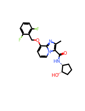 Cc1nc2c(OCc3c(F)cccc3F)cccn2c1C(=O)N[C@@H]1CCC[C@@H]1O